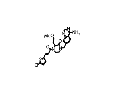 COCCC1C(=O)N(Cc2ccc3c(N)ncnc3c2)CCN1C(=O)/C=C/c1ccc(Cl)s1